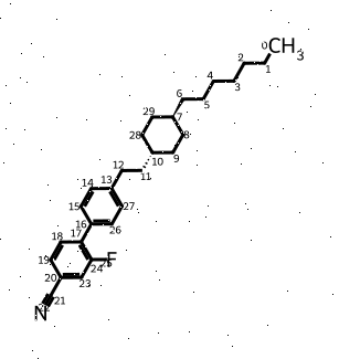 CCCCCCC[C@H]1CC[C@H](CCc2ccc(-c3ccc(C#N)cc3F)cc2)CC1